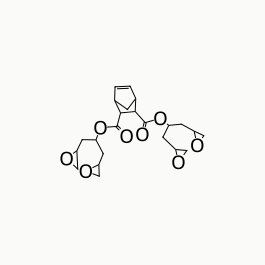 O=C(OC(CC1CO1)CC1CO1)C1C2C=CC(C2)C1C(=O)OC(CC1CO1)CC1CO1